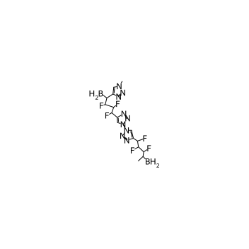 BC(C)C(F)C(F)C(F)c1cn(-n2cc(C(F)C(F)C(F)C(B)c3cn(C)nn3)nn2)nn1